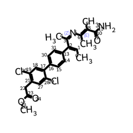 CC=C(/C(C)=N\C(C)=C(/C)C(N)=O)c1ccc(-c2cc(Cl)c(CC(=O)OC)cc2Cl)cc1